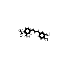 O=[N+]([O-])c1ccc(CCCc2ccc(Cl)c(Cl)c2)cc1O